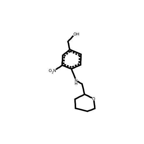 O=[N+]([O-])c1cc(CO)ccc1NCC1CCCCO1